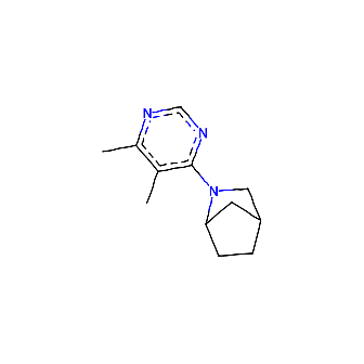 Cc1ncnc(N2CC3CCC2C3)c1C